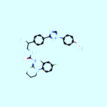 CCC(CNC(=O)/N=C1\SCCCN1c1ccc(F)cc1C(C)C)c1ccc(-c2ncn(-c3ccc(OC(F)(F)F)cc3)n2)cc1